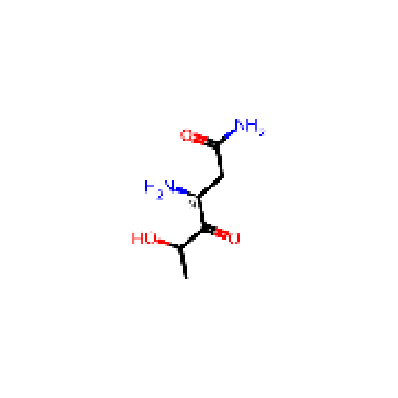 C[C](O)C(=O)[C@@H](N)CC(N)=O